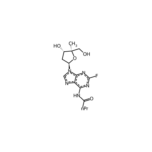 CCCC(=O)Nc1nc(F)nc2c1ncn2[C@H]1C[C@H](O)[C@@](C)(CO)O1